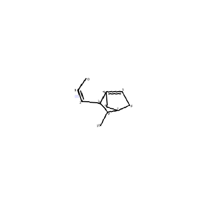 C/C=C\C1C2=CCC(C2)C1C